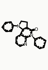 O=c1c2c(c3cccnc3n1-c1ccccc1)N(c1ccccc1)CC2